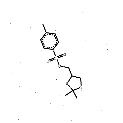 Cc1ccc(S(=O)(=O)OCC2CSC(C)(C)S2)cc1